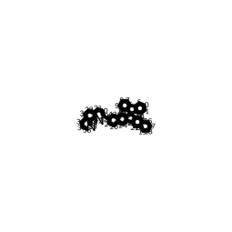 c1ccc2c(c1)-c1ccccc1C21c2cc3ccccc3cc2-c2cc3ccc(-c4ccc5ccc6cccnc6c5n4)cc3cc21